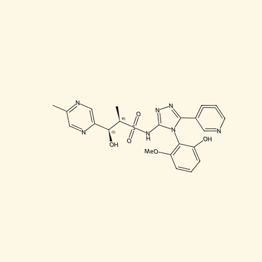 COc1cccc(O)c1-n1c(NS(=O)(=O)[C@H](C)[C@@H](O)c2cnc(C)cn2)nnc1C1=C=C=CN=C1